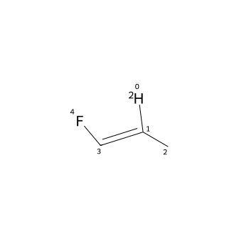 [2H]C(C)=CF